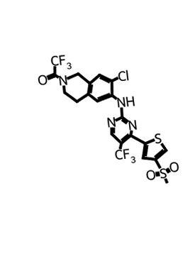 CS(=O)(=O)c1csc(-c2nc(Nc3cc4c(cc3Cl)CN(C(=O)C(F)(F)F)CC4)ncc2C(F)(F)F)c1